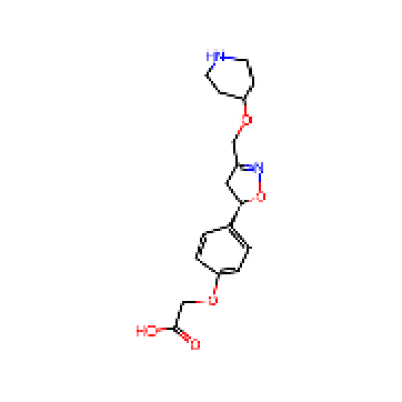 O=C(O)COc1ccc([C@H]2CC(COC3CCNCC3)=NO2)cc1